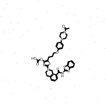 CC(=O)N1CCN(c2ccc(OCCCc3sc(N4CCc5cccc(C(=O)Nc6nc7ccccc7s6)c5C4)nc3OC(=O)O)cc2)CC1